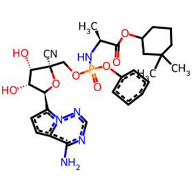 C[C@H](NP(=O)(OC[C@@]1(C#N)O[C@@H](c2ccc3c(N)ncnn23)[C@H](O)[C@@H]1O)Oc1ccccc1)C(=O)OC1CCCC(C)(C)C1